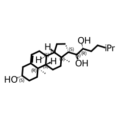 CC(C)CC[C@@H](O)[C@@H](O)[C@H]1CC[C@H]2[C@@H]3CC=C4C[C@@H](O)CC[C@]4(C)[C@H]3CC[C@]12C